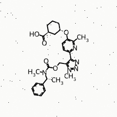 Cc1nc(-c2nnn(C)c2COC(=O)N(C)[C@H](C)c2ccccc2)ccc1O[C@H]1CCC[C@H](C(=O)O)C1